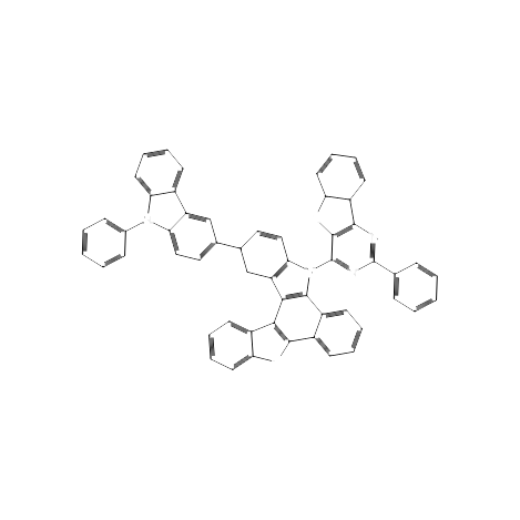 C1=CC2Sc3c(nc(-c4ccccc4)nc3-n3c4c(c5c6c7ccccc7sc6c6ccccc6c53)CC(c3ccc5c(c3)c3ccccc3n5-c3ccccc3)C=C4)C2C=C1